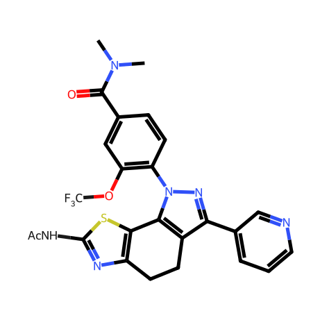 CC(=O)Nc1nc2c(s1)-c1c(c(-c3cccnc3)nn1-c1ccc(C(=O)N(C)C)cc1OC(F)(F)F)CC2